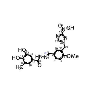 COc1ccc(/C=N/NC(=O)c2cc(O)c(O)c(O)c2)cc1Cn1cnc([N+](=O)O)n1